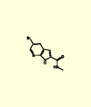 CNC(=O)c1cc2cc(Br)cnc2[nH]1